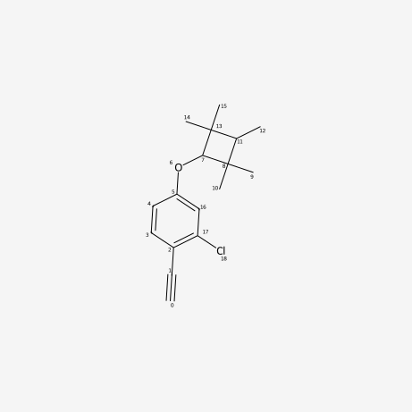 C#Cc1ccc(OC2C(C)(C)C(C)C2(C)C)cc1Cl